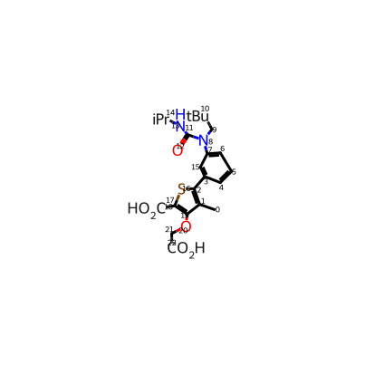 Cc1c(-c2cccc(N(CC(C)(C)C)C(=O)NC(C)C)c2)sc(C(=O)O)c1OCC(=O)O